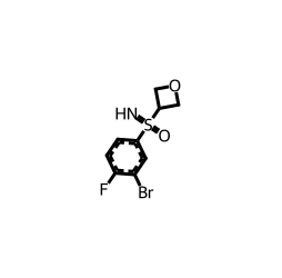 N=S(=O)(c1ccc(F)c(Br)c1)C1COC1